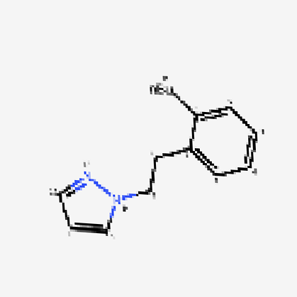 CCCCc1cc[c]cc1CCn1cccn1